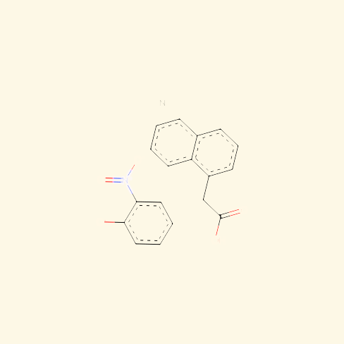 O=C(O)Cc1cccc2ccccc12.O=[N+]([O-])c1ccccc1[O-].[Na+]